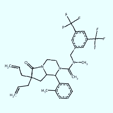 C=CCC1(CC=C)CC2C(c3ccccc3C)N(C(=C)N(C)Cc3cc(C(F)(F)F)cc(C(F)(F)F)c3)CCN2C1=O